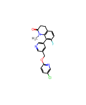 CN1C(=O)CCc2ccc(F)c(-c3cncc(COc4ccc(Cl)cn4)c3)c21